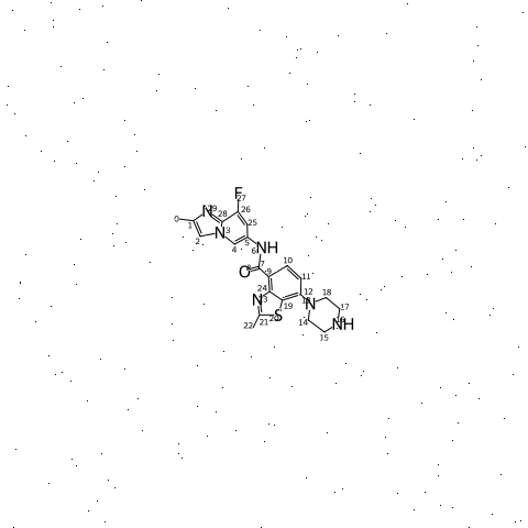 Cc1cn2cc(NC(=O)c3ccc(N4CCNCC4)c4sc(C)nc34)cc(F)c2n1